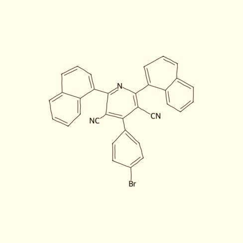 N#Cc1c(-c2cccc3ccccc23)nc(-c2cccc3ccccc23)c(C#N)c1-c1ccc(Br)cc1